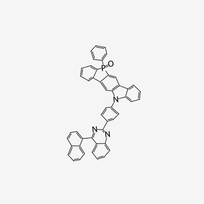 O=P1(c2ccccc2)c2ccccc2-c2cc3c(cc21)c1ccccc1n3-c1ccc(-c2nc(-c3cccc4ccccc34)c3ccccc3n2)cc1